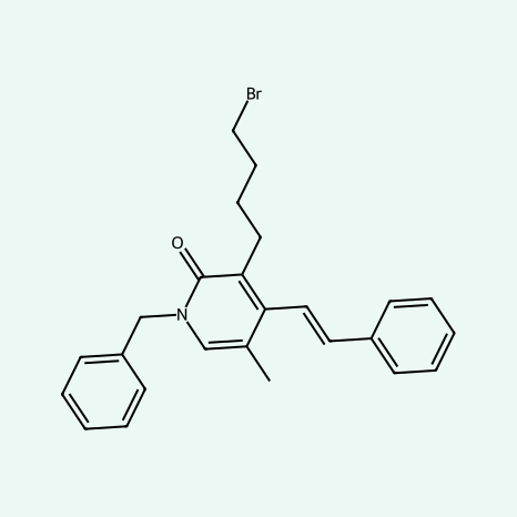 Cc1cn(Cc2ccccc2)c(=O)c(CCCCBr)c1/C=C/c1ccccc1